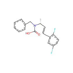 C[C@H](/C=C/c1cc(F)ccc1F)N(Cc1ccccc1)C(=O)O